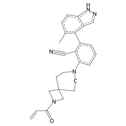 C=CC(=O)N1CC2(CCN(c3cccc(-c4c(C)ccc5[nH]ncc45)c3C#N)CC2)C1